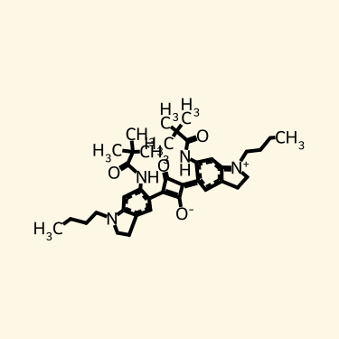 CCCCN1CCc2cc(C3=C([O-])/C(=c4\cc5c(cc4NC(=O)C(C)(C)C)=[N+](CCCC)CC5)C3=O)c(NC(=O)C(C)(C)C)cc21